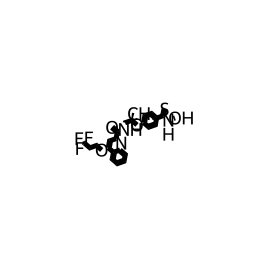 C[C@H](CNC(=O)c1cc(OCCC(F)(F)F)c2ccccc2n1)Oc1ccc(C(=S)NO)cc1